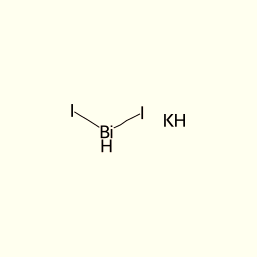 [I][BiH][I].[KH]